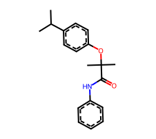 CC(C)c1ccc(OC(C)(C)C(=O)Nc2ccccc2)cc1